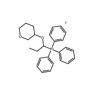 CCC(OC1CCCOC1)[P+](c1ccccc1)(c1ccccc1)c1ccccc1.[I-]